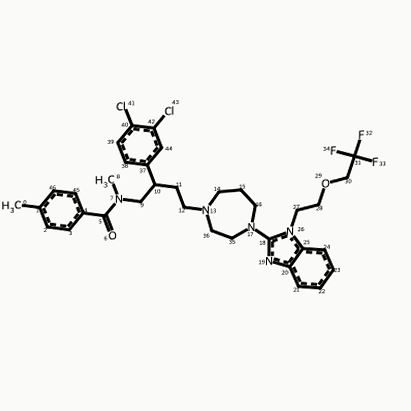 Cc1ccc(C(=O)N(C)CC(CCN2CCCN(c3nc4ccccc4n3CCOCC(F)(F)F)CC2)c2ccc(Cl)c(Cl)c2)cc1